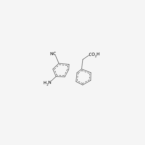 N#Cc1cccc(N)c1.O=C(O)Cc1ccccc1